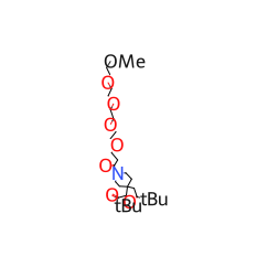 COCCOCCOCCOCCOCCC(=O)N1CCC(CC(=O)C(C)(C)C)(CC(=O)C(C)(C)C)CC1